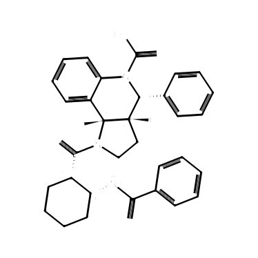 CC(=O)N1c2ccccc2[C@@H]2[C@@H](CCN2C(=O)[C@H]2CCCC[C@H]2NC(=O)c2ccccc2)[C@H]1c1ccccc1